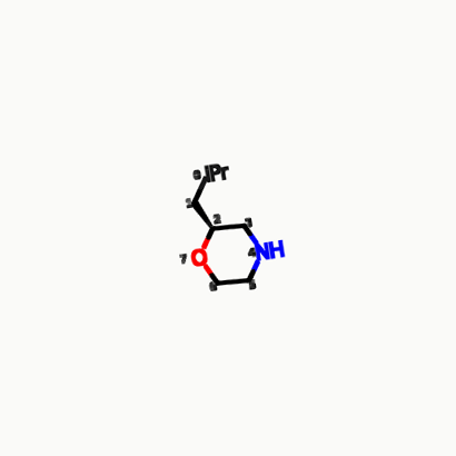 CC(C)C[C@H]1CNCCO1